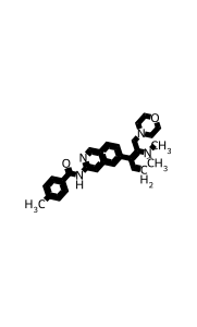 C=C/C(=C(/CN1CCOCC1)N(C)C)c1ccc2cnc(NC(=O)c3ccc(C)cc3)cc2c1